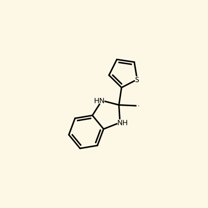 [CH2]C1(c2cccs2)Nc2ccccc2N1